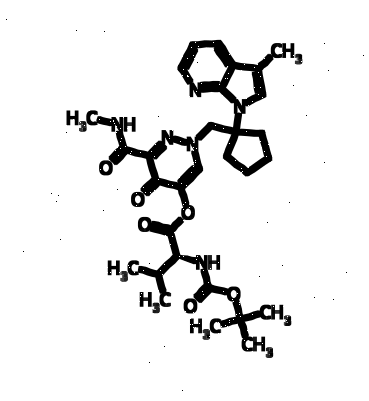 CNC(=O)c1nn(CC2(n3cc(C)c4cccnc43)CCCC2)cc(OC(=O)[C@@H](NC(=O)OC(C)(C)C)C(C)C)c1=O